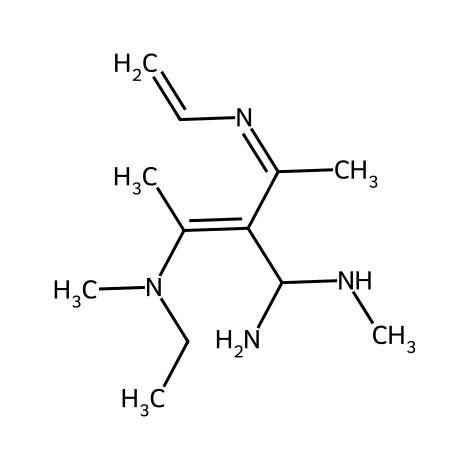 C=C/N=C(C)\C(=C(/C)N(C)CC)C(N)NC